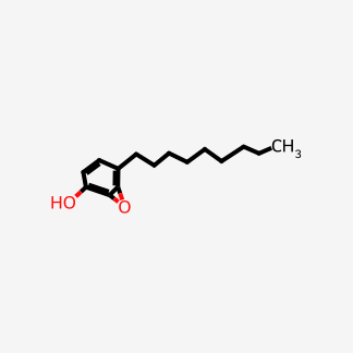 CCCCCCCCCc1ccc(O)c2c1O2